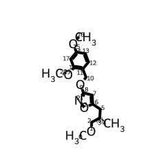 COC[C@@H](C)Cc1cc(OCc2ccc(OC)cc2OC)no1